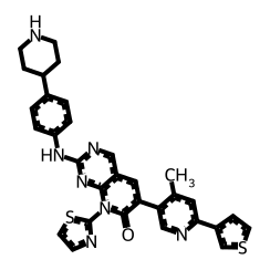 Cc1cc(-c2ccsc2)ncc1-c1cc2cnc(Nc3ccc(C4CCNCC4)cc3)nc2n(-c2nccs2)c1=O